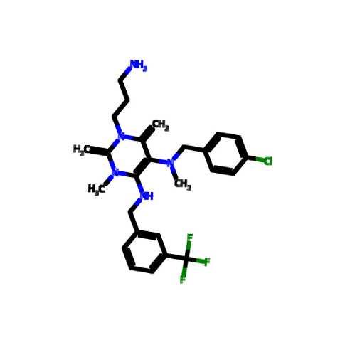 C=C1C(N(C)Cc2ccc(Cl)cc2)=C(NCc2cccc(C(F)(F)F)c2)N(C)C(=C)N1CCCN